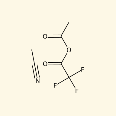 CC#N.CC(=O)OC(=O)C(F)(F)F